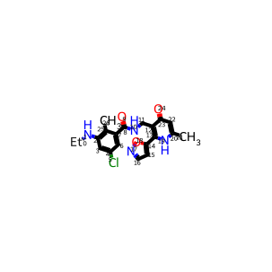 CCNc1cc(Cl)cc(C(=O)NCc2c(-c3ccno3)[nH]c(C)cc2=O)c1C